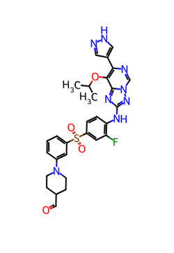 CC(C)Oc1c(-c2cn[nH]c2)ncn2nc(Nc3ccc(S(=O)(=O)c4cccc(N5CCC(C=O)CC5)c4)cc3F)nc12